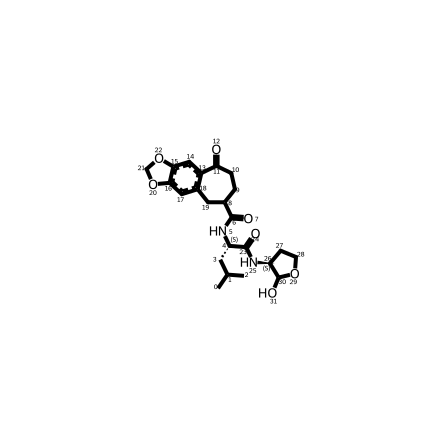 CC(C)C[C@H](NC(=O)C1CCC(=O)c2cc3c(cc2C1)OCO3)C(=O)N[C@H]1CCOC1O